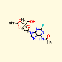 CCCC(=O)Nc1nc(F)nc2c1ncn2[C@H]1C[C@H](OC(=O)CCC)[C@@](C)(CO)O1